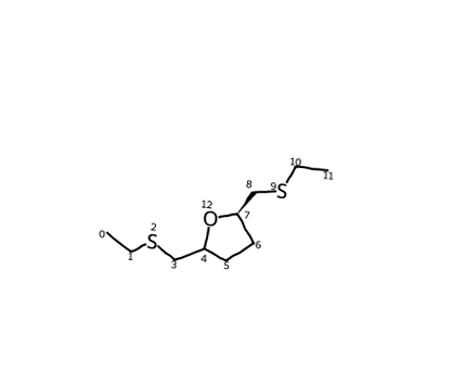 CCSCC1CC[C@H](CSCC)O1